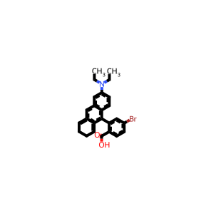 CCN(CC)c1ccc2c(-c3cc(Br)ccc3C(=O)O)c3c(cc2c1)=CCCC=3